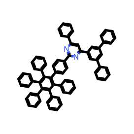 c1ccc(-c2cc(-c3ccccc3)cc(-c3cc(-c4ccccc4)nc(-c4ccc(-c5c(-c6ccccc6)c(-c6ccccc6)c(-c6ccccc6)c(-c6ccccc6)c5-c5ccccc5)cc4)n3)c2)cc1